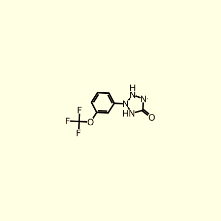 O=C1[N]NN(c2cccc(OC(F)(F)F)c2)N1